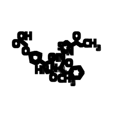 CCC(=O)c1csc(NC(=O)[C@H]([C@@H](C)c2ccccc2)N2C(=O)NC(c3ccc(OCC(=O)O)cc3)C2=O)n1